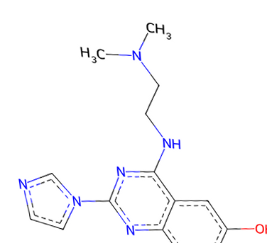 CN(C)CCNc1nc(-n2ccnc2)nc2ccc(O)cc12